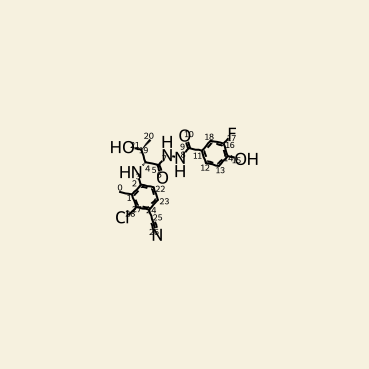 Cc1c(N[C@@H](C(=O)NNC(=O)c2ccc(O)c(F)c2)[C@H](C)O)ccc(C#N)c1Cl